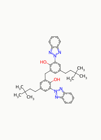 CC(C)(C)CCc1cc(Cc2cc(CCC(C)(C)C)cc(-n3nc4ccccc4n3)c2O)c(O)c(-n2nc3ccccc3n2)c1